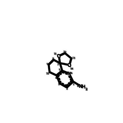 Nc1ccc2c(n1)C1(CCC2)OCCO1